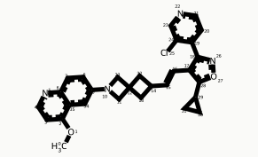 COc1ccnc2ccc(N3CC4(CC(/C=C/c5c(-c6ccncc6Cl)noc5C5CC5)C4)C3)cc12